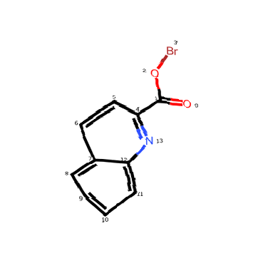 O=C(OBr)c1ccc2ccccc2n1